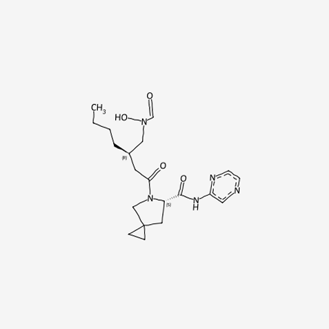 CCCC[C@H](CC(=O)N1CC2(CC2)C[C@H]1C(=O)Nc1cnccn1)CN(O)C=O